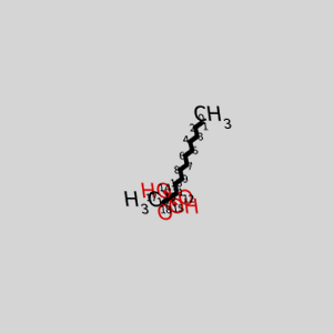 CCCCCCCCCCCC(=O)C(O)(O)C(C)=O